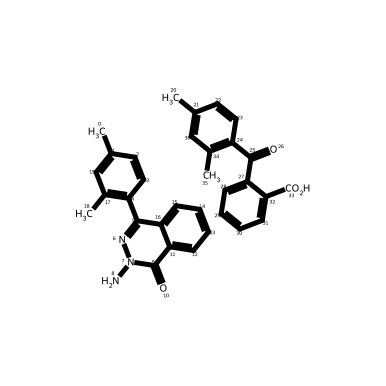 Cc1ccc(-c2nn(N)c(=O)c3ccccc23)c(C)c1.Cc1ccc(C(=O)c2ccccc2C(=O)O)c(C)c1